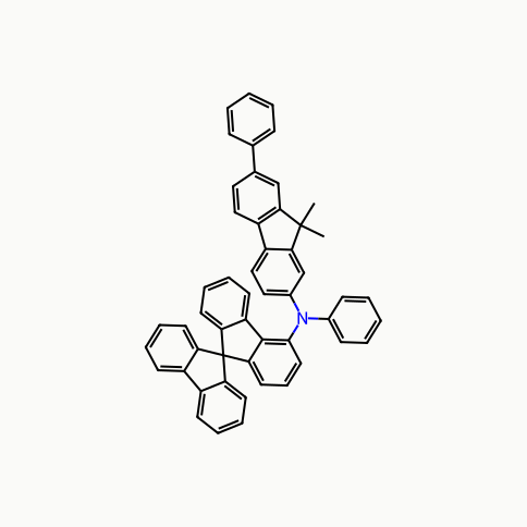 CC1(C)c2cc(-c3ccccc3)ccc2-c2ccc(N(c3ccccc3)c3cccc4c3-c3ccccc3C43c4ccccc4-c4ccccc43)cc21